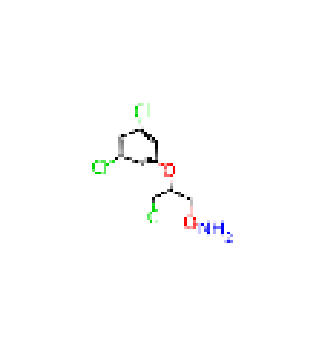 NOCC(CCl)Oc1cc(Cl)cc(Cl)c1